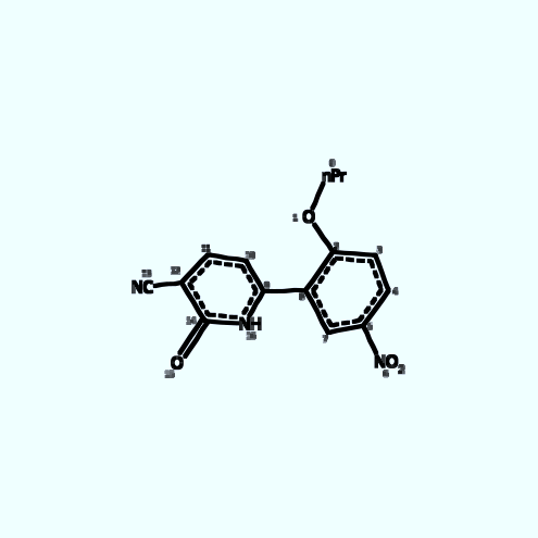 CCCOc1ccc([N+](=O)[O-])cc1-c1ccc(C#N)c(=O)[nH]1